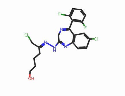 OCCCC/C(CCl)=N\NC1=Nc2ccc(Cl)cc2C(c2c(F)cccc2F)=NC1